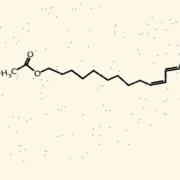 C/C=C/C=C\CCCCCCCCCOC(C)=O